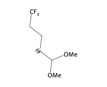 COC(OC)[Si]CCC(F)(F)F